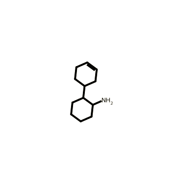 NC1CCCCC1C1CC=CCC1